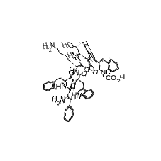 C[C@@H](O)[C@H](NC(=O)[C@H](CCCCN)NC(=O)[C@@H](Cc1c[nH]c2ccccc12)NC(=O)[C@H](Cc1ccccc1)NC(=O)[C@@H](N)Cc1ccccc1)C(=O)N[C@@H](Cc1ccccc1)C(=O)NCC(=O)O